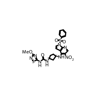 COc1nsc(NC(=O)N[C@H]2CC[C@@H](Nc3c([N+](=O)[O-])cnc4c3ccn4S(=O)(=O)c3ccccc3)C2)n1